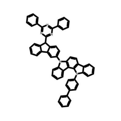 c1ccc(-c2ccc(-n3c4ccccc4c4ccc5c(c6ccccc6n5-c5ccc6c(c5)-c5ccccc5C6c5nc(-c6ccccc6)nc(-c6ccccc6)n5)c43)cc2)cc1